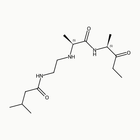 CCC(=O)[C@H](C)NC(=O)[C@H](C)NCCNC(=O)CC(C)C